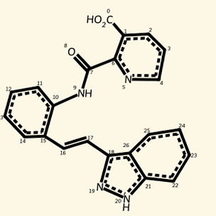 O=C(O)c1cccnc1C(=O)Nc1ccccc1C=Cc1n[nH]c2ccccc12